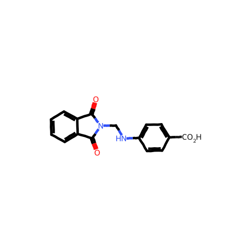 O=C(O)c1ccc(NCN2C(=O)c3ccccc3C2=O)cc1